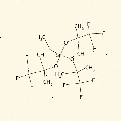 C[CH2][Sn]([O]C(C)(C)C(F)(F)F)([O]C(C)(C)C(F)(F)F)[O]C(C)(C)C(F)(F)F